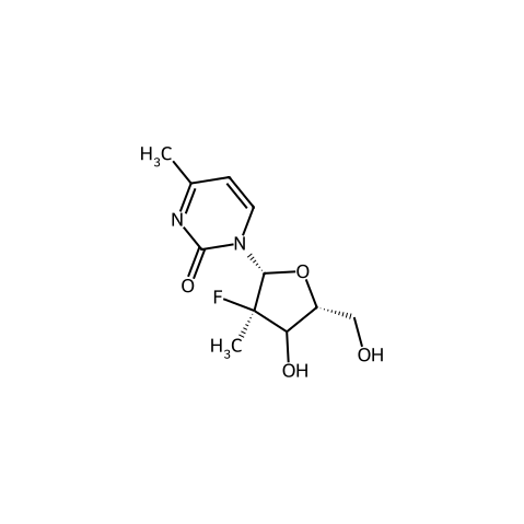 Cc1ccn([C@@H]2O[C@H](CO)C(O)[C@@]2(C)F)c(=O)n1